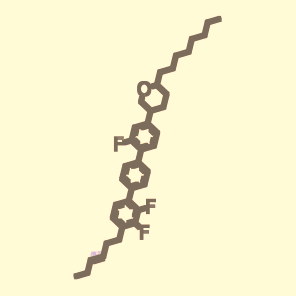 CC/C=C/CCc1ccc(-c2ccc(-c3ccc(C4CCC(CCCCCCCC)OC4)cc3F)cc2)c(F)c1F